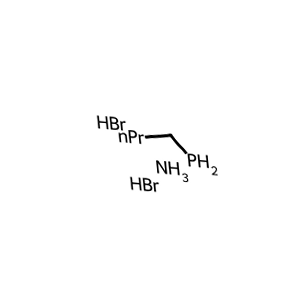 Br.Br.CCCCP.N